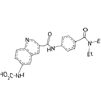 CCN(CC)C(=O)c1ccc(NC(=O)c2cnc3ccc(NC(=O)O)cc3c2)cc1